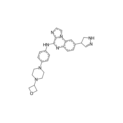 C1=NNCC1c1ccc2nc(Nc3ccc(N4CCN(C5COC5)CC4)cc3)c3nccn3c2c1